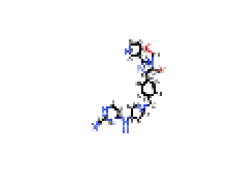 N#Cc1nccc(NC2CCN(Cc3ccc(-c4nc5n(c4Br)COc4ccncc4-5)cc3)CC2)n1